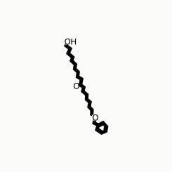 O=C(CCCCCCCCCCO)CCCCCCCCOCc1ccccc1